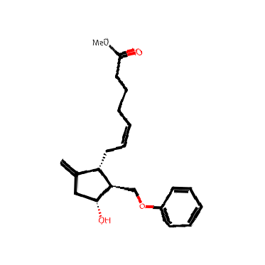 C=C1C[C@@H](O)[C@H](COc2ccccc2)[C@H]1C/C=C\CCCC(=O)OC